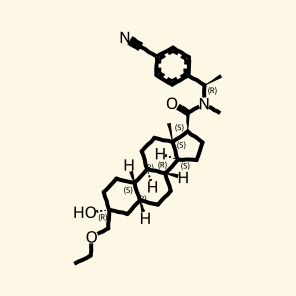 CCOC[C@@]1(O)CC[C@H]2[C@H](CC[C@@H]3[C@@H]2CC[C@]2(C)[C@@H](C(=O)N(C)[C@H](C)c4ccc(C#N)cc4)CC[C@@H]32)C1